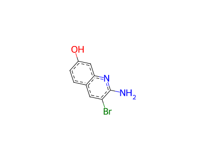 Nc1nc2cc(O)ccc2cc1Br